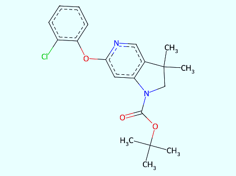 CC(C)(C)OC(=O)N1CC(C)(C)c2cnc(Oc3ccccc3Cl)cc21